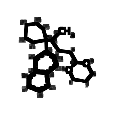 CC(CCC1OCCCO1)C1(c2ccc3ccccc3c2)CCCCC1